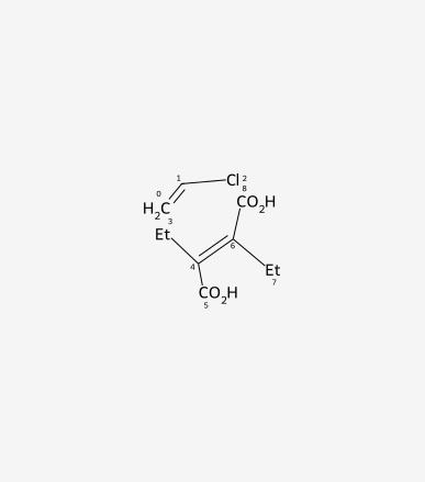 C=CCl.CC/C(C(=O)O)=C(/CC)C(=O)O